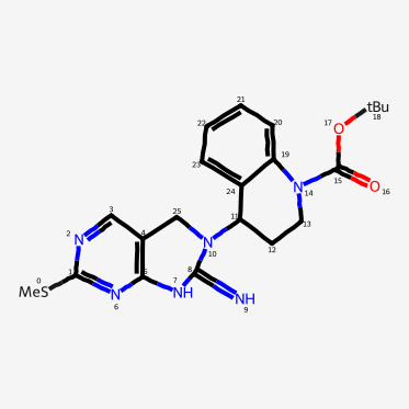 CSc1ncc2c(n1)NC(=N)N(C1CCN(C(=O)OC(C)(C)C)c3ccccc31)C2